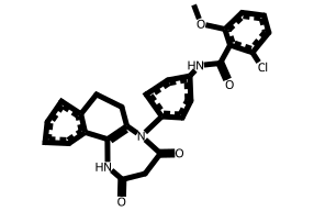 COc1cccc(Cl)c1C(=O)Nc1ccc(N2C(=O)CC(=O)NC3=C2CCc2ccccc23)cc1